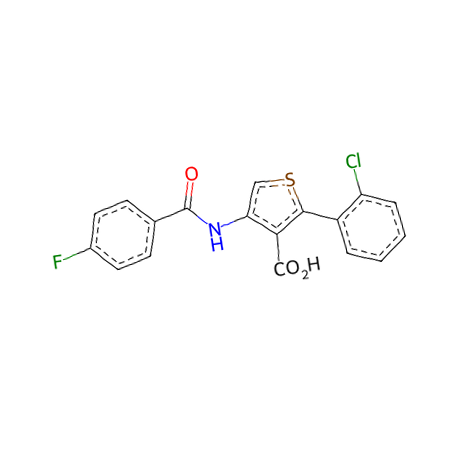 O=C(Nc1csc(-c2ccccc2Cl)c1C(=O)O)c1ccc(F)cc1